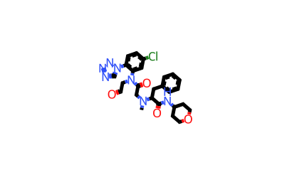 CN(CC(=O)N(CC=O)c1cc(Cl)ccc1-n1cnnn1)C(Cc1ccccc1)C(=O)NC1CCOCC1